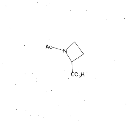 CC(=O)N1CCC1C(=O)O